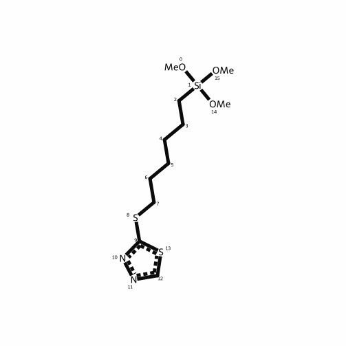 CO[Si](CCCCCCSc1nncs1)(OC)OC